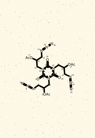 CC(=O)OC(CN=[N+]=[N-])Cn1c(=O)n(CC(CN=[N+]=[N-])OC(C)=O)c(=O)n(CC(CN=[N+]=[N-])OC(C)=O)c1=O